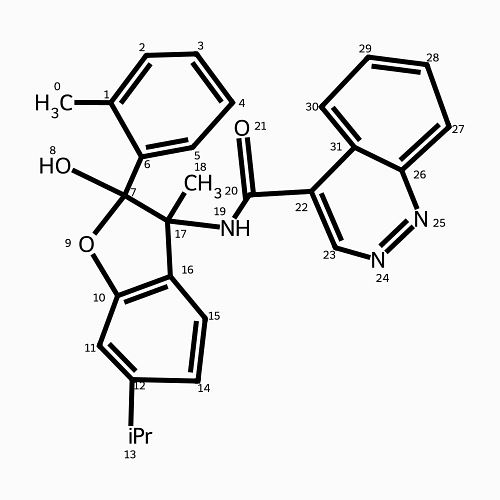 Cc1ccccc1C1(O)Oc2cc(C(C)C)ccc2C1(C)NC(=O)c1cnnc2ccccc12